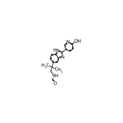 CC(C)(CNC=O)c1ccc2[nH]c(-c3ccc(O)nc3)nc2c1